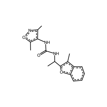 Cc1noc(C)c1NC(=O)NC(C)c1oc2ccccc2c1C